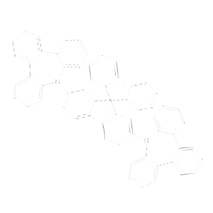 c1ccc2c(c1)-c1ccccc1N(c1ccc3c(c1)C1(c4ccccc4-c4ccccc41)c1cc(N4c5ccccc5-c5ccccc5-c5ccccc54)ccc1-3)c1ccccc1-2